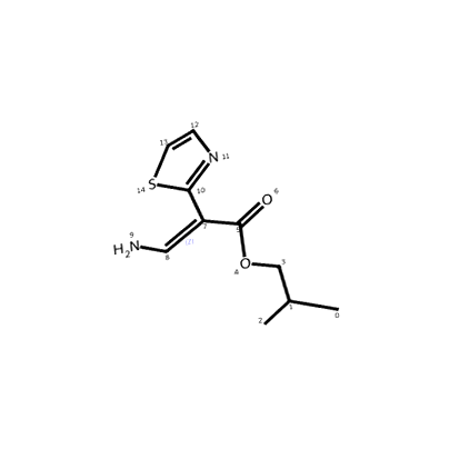 CC(C)COC(=O)/C(=C/N)c1nccs1